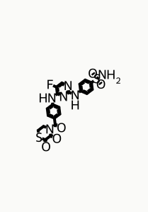 NS(=O)(=O)c1ccc(Nc2ncc(F)c(Nc3ccc(C(=O)N4CCSC(=O)C4=O)cc3)n2)cc1